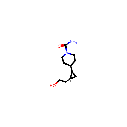 NC(=O)N1CCC(C2C[C@H]2CCO)CC1